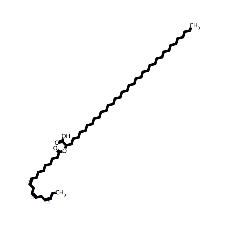 CC/C=C\C/C=C\C/C=C\CCCCCCCC(=O)OC(CCCCCCCCCCCCCCCCCCCCCCCCCCCCCCCCCCCC)C(=O)O